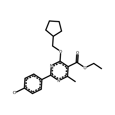 CCOC(=O)c1c(C)nc(-c2ccc(Cl)cc2)nc1OCC1CCCC1